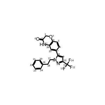 O=C1COc2ccc(-c3cc(C(F)(F)F)nn3CCc3ccccc3)cc2N1